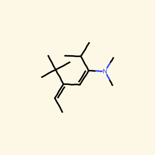 C/C=C(\C=C(/C(C)C)N(C)C)C(C)(C)C